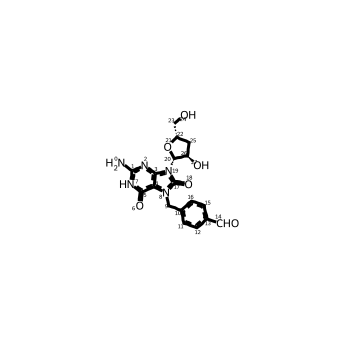 Nc1nc2c(c(=O)[nH]1)n(Cc1ccc(C=O)cc1)c(=O)n2[C@@H]1O[C@H](CO)C[C@H]1O